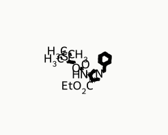 CCOC(=O)[C@@H]1CN(Cc2ccccc2)C[C@H]1NC(=O)OCC[Si](C)(C)C